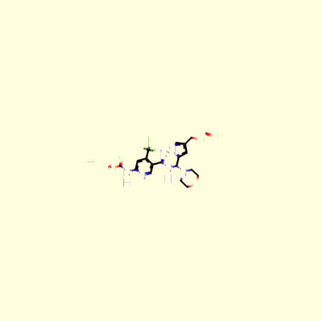 COC(=O)Nc1cc(C(F)(F)F)c(C2=Nn3cc(COC=O)cc3C(N3CCOCC3)N2)cn1